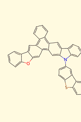 c1ccc2c(c1)oc1cc3c(cc12)c1ccccc1c1cc2c4ccccc4n(-c4ccc5sc6ccccc6c5c4)c2cc31